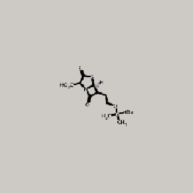 CC(C)(C)[Si](C)(C)OCCC1C(=O)N2C(C(=O)O)C(=S)S[C@@H]12